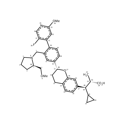 COC[C@H]1CCCN1Cc1cc([C@H]2CCc3ccc([C@H](C4CC4)[C@H](C)C(=O)O)cc3O2)ccc1-c1cc(OC)ncc1F